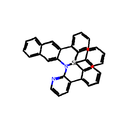 c1ccc([Si]23c4ccccc4-c4cc5ccccc5cc4N2c2ncccc2-c2ccccc23)cc1